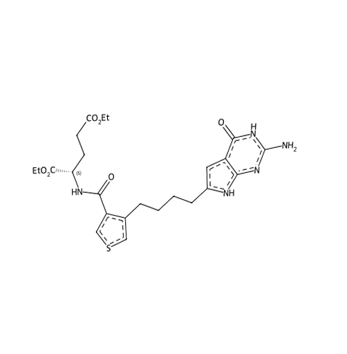 CCOC(=O)CC[C@H](NC(=O)c1cscc1CCCCc1cc2c(=O)[nH]c(N)nc2[nH]1)C(=O)OCC